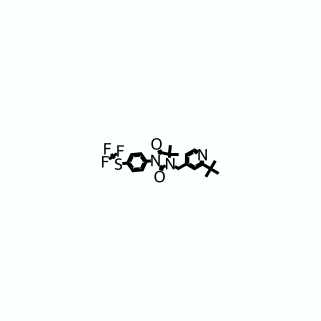 CC(C)(C)c1cc(CN2C(=O)N(c3ccc(SC(F)(F)F)cc3)C(=O)C2(C)C)ccn1